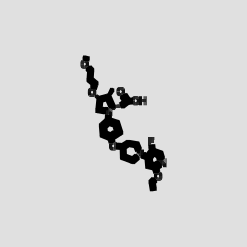 CCOc1cc(N2CCC(Oc3ccc(N4C[C@H](OCCCOC)[C@@H](C)[C@@H]4CC(=O)O)cc3)CC2)c(F)cn1